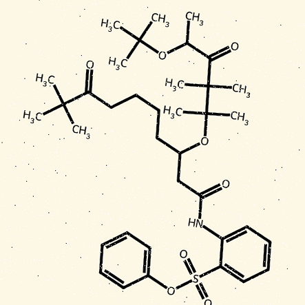 CC(OC(C)(C)C)C(=O)C(C)(C)C(C)(C)OC(CCCCC(=O)C(C)(C)C)CC(=O)Nc1ccccc1S(=O)(=O)Oc1ccccc1